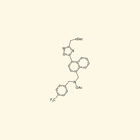 CCCCCCCCCCCc1noc(-c2ccc(CN(Cc3ccc(C(F)(F)F)cc3)OC(C)=O)c3ccccc23)n1